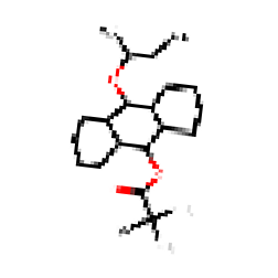 CCC(C)OC1C2CCCCC2C(OC(=O)C(C)(C)C)C2CCCCC21